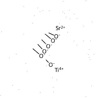 C[O-].C[O-].C[O-].C[O-].C[O-].C[O-].[Sr+2].[Ti+4]